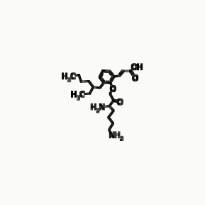 CCCCC(CC)Cc1cccc(/C=C/C(=O)O)c1OCC(=O)C(N)CCCCN